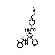 Cc1ccccc1C(=O)Nc1nc(NC(=O)C2CCN(CCC#N)CC2)nn1-c1ccccc1